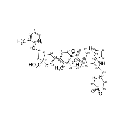 Cc1cccnc1OCCC1(C(=O)O)CC=C(C2=CCC3(C)C(CCC4(C)C3CCC3[C@H]5CCCC5(NCCN5CCS(=O)(=O)CC5)CC[C@]34C)C2C)CC1